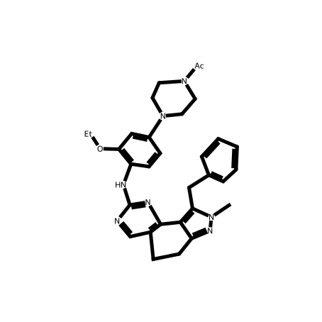 CCOc1cc(N2CCN(C(C)=O)CC2)ccc1Nc1ncc2c(n1)-c1c(nn(C)c1Cc1ccccc1)CC2